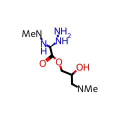 CNCC(O)COC(=O)[C@H](NN)NNC